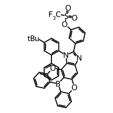 CC(C)(C)c1ccc(-n2c(-c3cccc(OS(=O)(=O)C(F)(F)F)c3)nc3cc4c5c(c32)Oc2ccccc2B5c2ccccc2O4)c(-c2ccccc2)c1